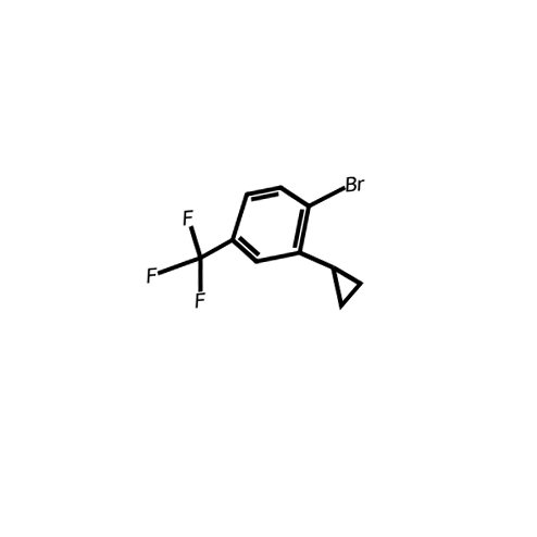 FC(F)(F)c1ccc(Br)c(C2CC2)c1